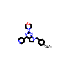 COc1ccc(CN2CCc3c(-c4ccncc4)nc(N4CCOCC4)nc32)cc1